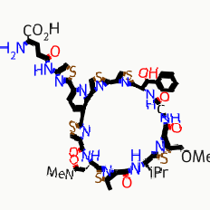 CNC(=O)C[C@@H]1NC(=O)c2csc(n2)-c2ccc(-c3nc(NC(=O)CC[C@H](N)C(=O)O)cs3)nc2-c2csc(n2)-c2csc(n2)[C@H]([C@@H](O)c2ccccc2)NC(=O)CNC(=O)c2nc(sc2COC)[C@@H](C(C)C)NC(=O)c2nc1sc2C